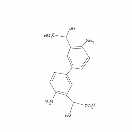 Nc1ccc(-c2ccc(N)c(C(O)C(=O)O)c2)cc1C(O)C(=O)O